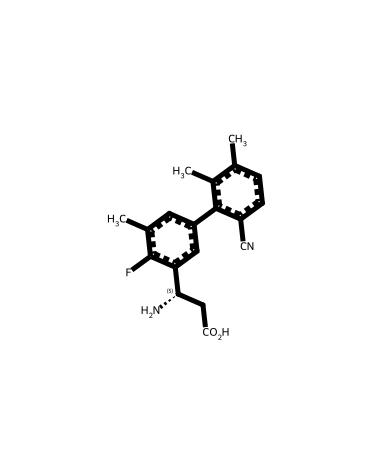 Cc1ccc(C#N)c(-c2cc(C)c(F)c([C@@H](N)CC(=O)O)c2)c1C